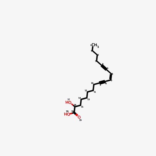 CCCCC#C/C=C\C#CCCCCCCC(O)C(=O)O